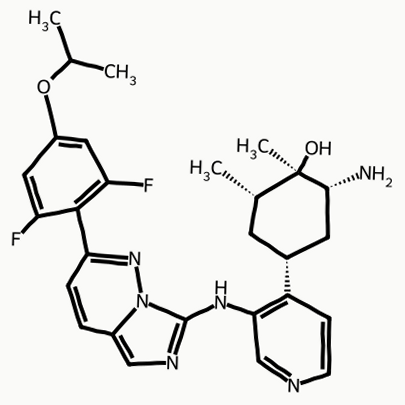 CC(C)Oc1cc(F)c(-c2ccc3cnc(Nc4cnccc4[C@H]4C[C@@H](N)[C@](C)(O)[C@@H](C)C4)n3n2)c(F)c1